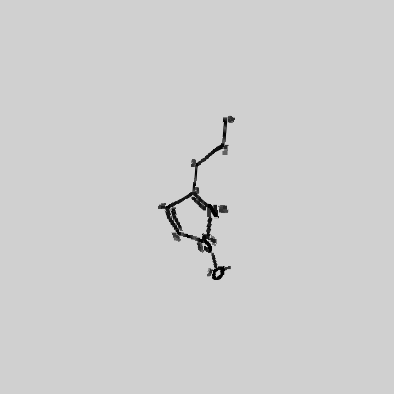 CCCc1cc[s+]([O-])n1